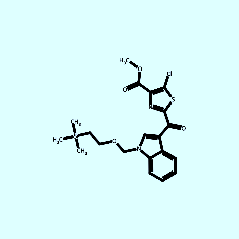 COC(=O)c1nc(C(=O)c2cn(COCC[Si](C)(C)C)c3ccccc23)sc1Cl